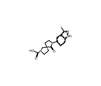 O=C(O)N1CC[C@]2(CCN(c3ccc4[nH]nc(I)c4c3)C2=O)C1